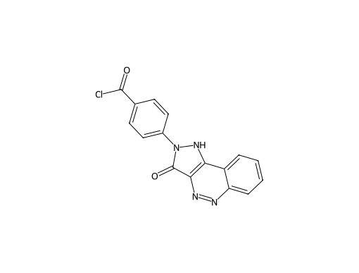 O=C(Cl)c1ccc(-n2[nH]c3c(nnc4ccccc43)c2=O)cc1